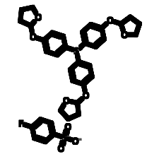 O=S(=O)([O-])c1ccc(F)cc1.c1cc([S+](c2ccc(OC3CCCO3)cc2)c2ccc(OC3CCCO3)cc2)ccc1OC1CCCO1